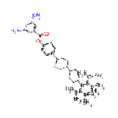 BB(B)B(B(B)B)B(B(B(B)B)B(B)B)C1CCC(C2CCC(c3ccc(OC(=O)c4cc(N)cc(N)c4)cc3)CC2)CC1